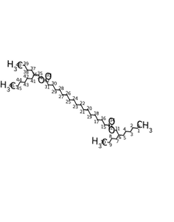 CCCCCCC(CCCC)COC(=O)CCCCCCCCCCCCCCCCCC(=O)OCC(CCCC)CCCCCC